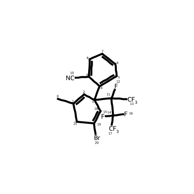 CC1=CC(c2ccccc2C#N)(C(F)(C(F)(F)F)C(F)(F)C(F)(F)F)C=C(Br)[CH]1